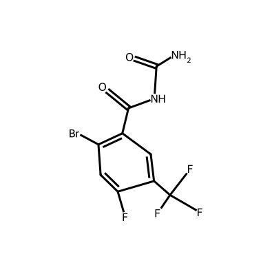 NC(=O)NC(=O)c1cc(C(F)(F)F)c(F)cc1Br